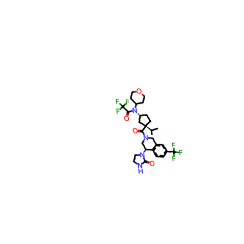 CC(C)[C@]1(C(=O)N2Cc3cc(C(F)(F)F)ccc3[C@@H](N3CCNC3=O)C2)CC[C@@H](N(C(=O)C(F)(F)F)C2CCOCC2)C1